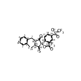 Cc1cnccc1CN1C(=O)[N+](OC(=O)C(F)(F)F)(c2ccc(S(=O)(=O)C(F)(F)F)cc2)C(=S)[C@H]1C